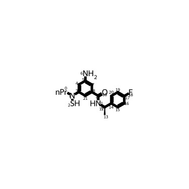 CCCN(S)c1cc(N)cc(C(=O)N[C@H](C)c2ccc(F)cc2)c1